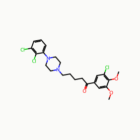 COc1cc(C(=O)CCCCN2CCN(c3cccc(Cl)c3Cl)CC2)cc(Cl)c1OC